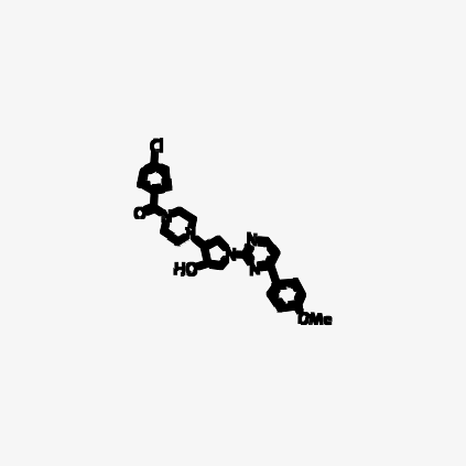 COc1ccc(-c2ccnc(N3CC(O)C(N4CCN(C(=O)c5ccc(Cl)cc5)CC4)C3)n2)cc1